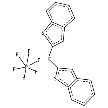 F[P-](F)(F)(F)(F)F.c1ccc2sc([I+]c3cc4ccccc4s3)cc2c1